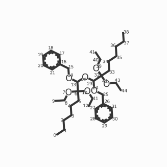 CCCCCCC(OCC)(OCC)C(OCc1ccccc1)OC(OCc1ccccc1)C(CCCCCC)(OCC)OCC